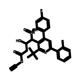 C#COC(=O)CC(O)C(c1c(-c2ccc(F)cc2)cc(-c2ccccc2C)nc1C(C)(C)C)[PH](=O)O